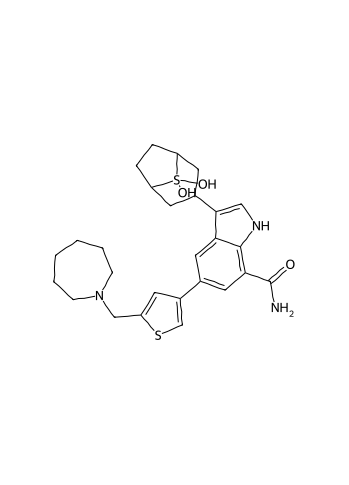 NC(=O)c1cc(-c2csc(CN3CCCCCC3)c2)cc2c(C3CC4CCC(C3)S4(O)O)c[nH]c12